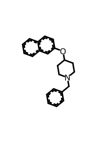 c1ccc(CN2CCC(Oc3ccc4ccccc4c3)CC2)cc1